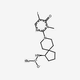 Cn1c(N2CCC3(CCC[C@H]3N[S+]([O-])C(C)(C)C)CC2)ncc(I)c1=O